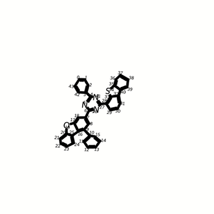 c1ccc(-c2nc(-c3cc(-c4ccccc4)c4c(c3)oc3ccccc34)nc(-c3cccc4c3sc3ccccc34)n2)cc1